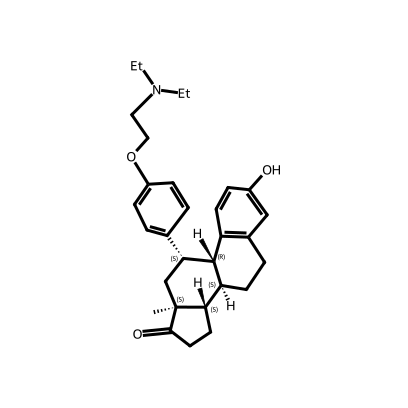 CCN(CC)CCOc1ccc([C@H]2C[C@]3(C)C(=O)CC[C@H]3[C@@H]3CCc4cc(O)ccc4[C@H]32)cc1